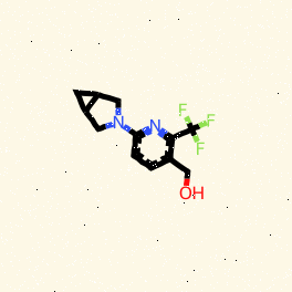 OCc1ccc(N2CC3CC3C2)nc1C(F)(F)F